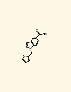 NC(=O)c1ccc2c(cnn2Cc2cccs2)c1